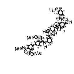 CNC(=O)c1ccc(-c2ccc(C(=O)Nc3cccc(C(=O)Nc4cc(C(c5ccc(O)c(NC(=O)c6cccc(C)c6)c5)(C(F)(F)F)C(F)(F)F)ccc4O)c3)c(C(=O)OC)c2)cc1C(=O)OC